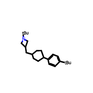 CC(C)(C)c1ccc(C2CCC(CC3CN(C(C)(C)C)C3)CC2)cc1